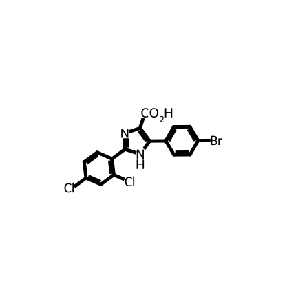 O=C(O)c1nc(-c2ccc(Cl)cc2Cl)[nH]c1-c1ccc(Br)cc1